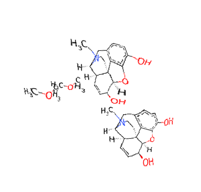 CN1CC[C@]23c4c5ccc(O)c4O[C@H]2[C@@H](O)C=C[C@H]3[C@H]1C5.CN1CC[C@]23c4c5ccc(O)c4O[C@H]2[C@@H](O)C=C[C@H]3[C@H]1C5.COC.COC